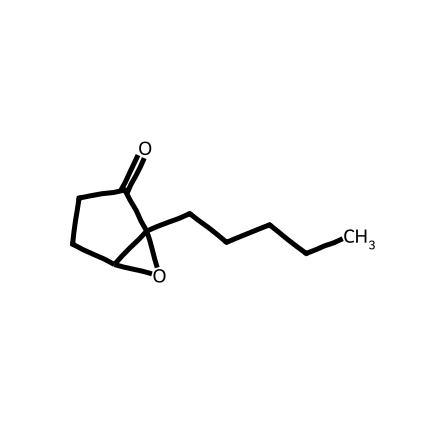 CCCCCC12OC1CCC2=O